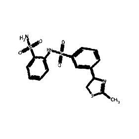 CC1=NC(c2cccc(S(=O)(=O)Nc3ccccc3S(N)(=O)=O)c2)CS1